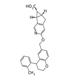 Cc1ccccc1C1CCOc2ccc(COc3cc4c(cn3)[C@H]3[C@@H](C4)[C@@H]3C(=O)O)cc21